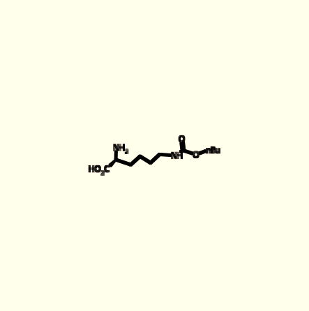 CCCCOC(=O)NCCCC[C@H](N)C(=O)O